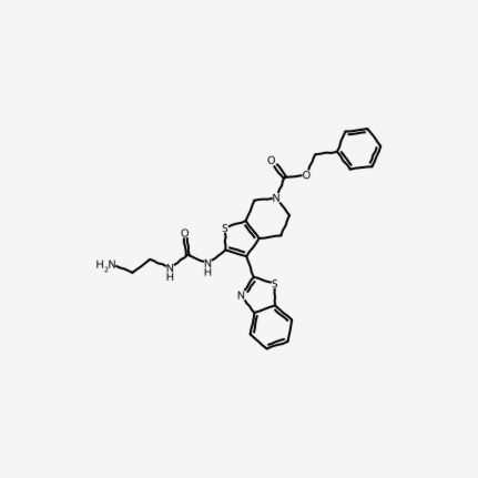 NCCNC(=O)Nc1sc2c(c1-c1nc3ccccc3s1)CCN(C(=O)OCc1ccccc1)C2